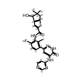 Cc1c(-c2cc(Nc3ccncn3)c(=O)[nH]n2)ccc(F)c1NC(=O)c1cc2c(s1)CC(C)(C)C2O